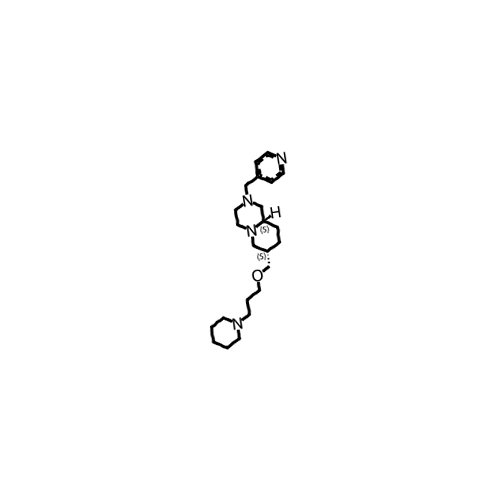 c1cc(CN2CCN3C[C@@H](COCCCN4CCCCC4)CC[C@H]3C2)ccn1